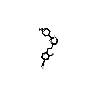 N#Cc1ccc(CCc2ccnc(C3CCNCC3)n2)c(F)c1